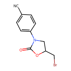 N#Cc1ccc(N2CC(CBr)OC2=O)cc1